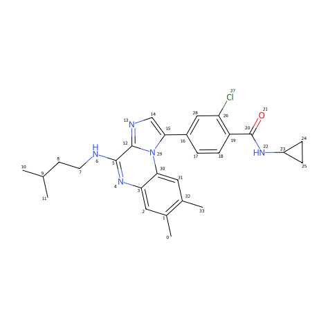 Cc1cc2nc(NCCC(C)C)c3ncc(-c4ccc(C(=O)NC5CC5)c(Cl)c4)n3c2cc1C